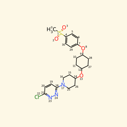 CS(=O)(=O)c1ccc(OC2CCC(OC3CCN(c4ccc(Cl)nn4)CC3)CC2)cc1